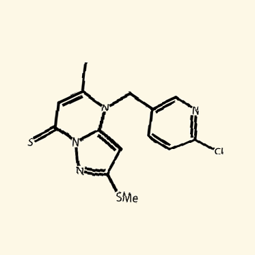 CSc1cc2n(Cc3ccc(Cl)nc3)c(C)cc(=S)n2n1